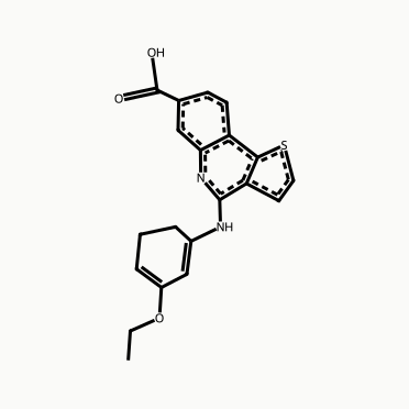 CCOC1=CCCC(Nc2nc3cc(C(=O)O)ccc3c3sccc23)=C1